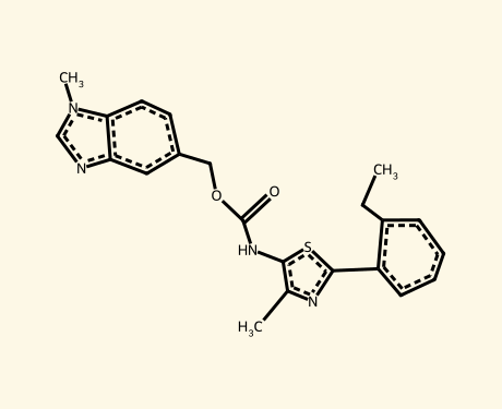 CCc1ccccc1-c1nc(C)c(NC(=O)OCc2ccc3c(c2)ncn3C)s1